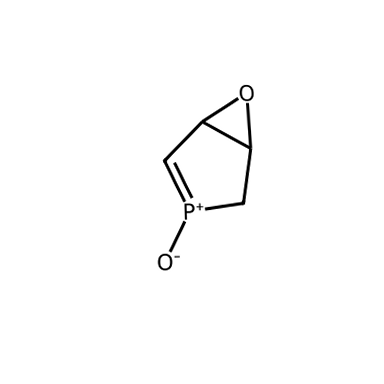 [O-][P+]1=CC2OC2C1